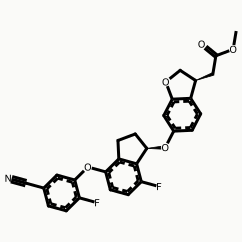 COC(=O)C[C@@H]1COc2cc(O[C@@H]3CCc4c(Oc5cc(C#N)ccc5F)ccc(F)c43)ccc21